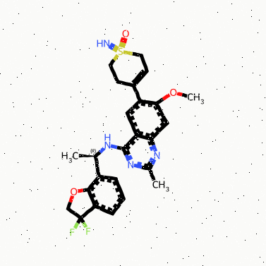 COc1cc2nc(C)nc(N[C@H](C)c3cccc4c3OCC4(F)F)c2cc1C1=CCS(=N)(=O)CC1